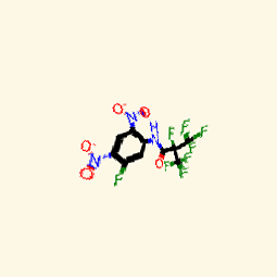 O=C(Nc1cc(F)c([N+](=O)[O-])cc1[N+](=O)[O-])C(F)(C(F)(F)F)C(F)(F)F